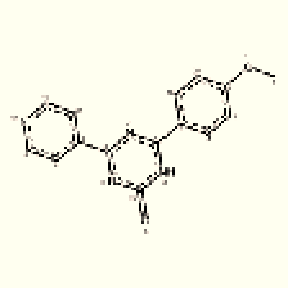 COc1ccc(-c2nc(-c3ccncc3)nc(=O)[nH]2)cc1